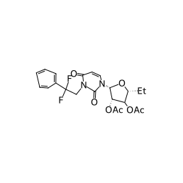 CC[C@H]1O[C@@H](n2ccc(=O)n(CC(F)(F)c3ccccc3)c2=O)[C@@H](OC(C)=O)C1OC(C)=O